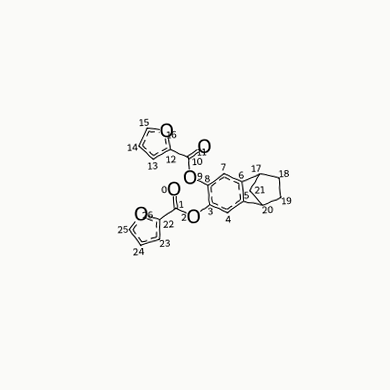 O=C(Oc1cc2c(cc1OC(=O)c1ccco1)C1CCC2C1)c1ccco1